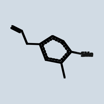 C=CCc1ccc(SC)c(C)c1